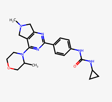 CC1COCCN1c1nc(-c2ccc(NC(=O)NC3CC3)cc2)nc2c1CN(C)C2